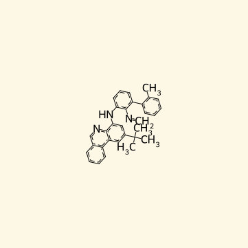 C=Nc1c(Nc2cc(C(C)(C)C)cc3c2ncc2ccccc23)cccc1-c1ccccc1C